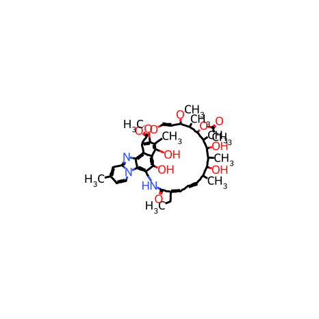 CC/C1=C/C=C/C(C)C(O)C(C)C(O)C(C)C(OC(C)=O)C(C)C(OC)/C=C/OC(=O)c2c(OC)c(C)c(O)c3c(O)c(c4c(nc5cc(C)ccn54)c23)NC1=O